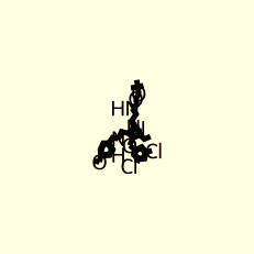 CCc1nn(CCNCOOC(C)(C)C)c(CNCc2ccc(OC)cc2)c1Oc1cc(Cl)cc(Cl)c1